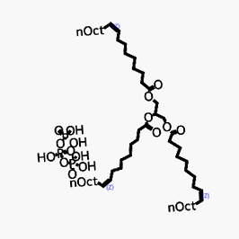 CCCCCCCC/C=C\CCCCCCCC(=O)OCC(COC(=O)CCCCCCC/C=C\CCCCCCCC)OC(=O)CCCCCCC/C=C\CCCCCCCC.O=P(O)(O)OP(=O)(O)OP(=O)(O)O